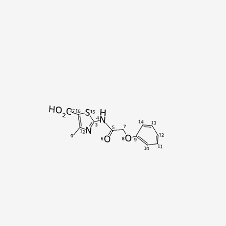 Cc1nc(NC(=O)COc2ccccc2)sc1C(=O)O